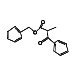 CC(C(=O)OCc1ccccc1)C(=O)c1ccccc1